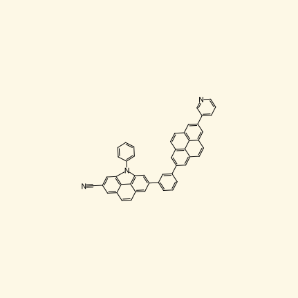 N#Cc1cc2ccc3cc(-c4cccc(-c5cc6ccc7cc(-c8cccnc8)cc8ccc(c5)c6c78)c4)cc4c3c2c(c1)n4-c1ccccc1